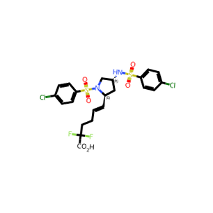 O=C(O)C(F)(F)CCC=C[C@@H]1C[C@@H](NS(=O)(=O)c2ccc(Cl)cc2)CN1S(=O)(=O)c1ccc(Cl)cc1